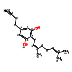 C#CCCc1cc(O)c(CC=C(C)CCC=C(C)C)c(O)c1